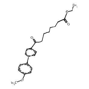 CCOC(=O)CCCCCCC(=O)c1ccc(-c2ccc(OC)cc2)cc1